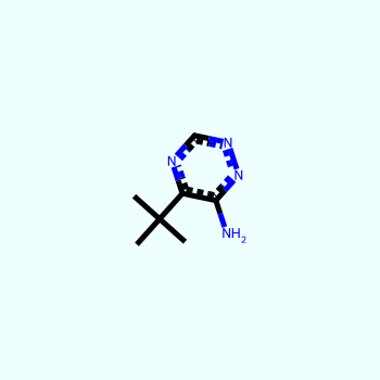 CC(C)(C)c1ncnnc1N